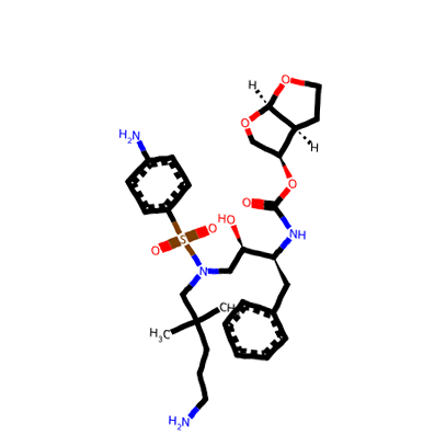 CC(C)(CCCN)CN(C[C@@H](O)[C@H](Cc1ccccc1)NC(=O)O[C@H]1CO[C@H]2OCC[C@H]21)S(=O)(=O)c1ccc(N)cc1